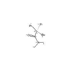 CC[C@](C(=O)N(C)C)(C(C)C)C(C)(C)C